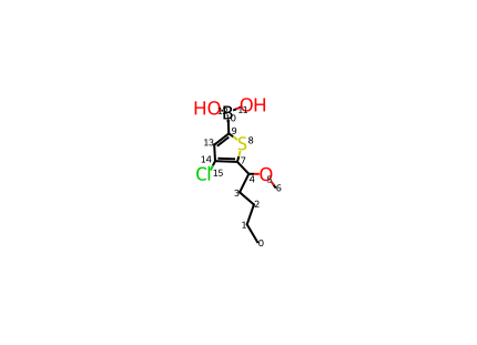 CCCCC(OC)c1sc(B(O)O)cc1Cl